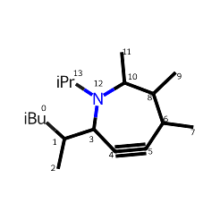 CCC(C)C(C)C1C#CC(C)C(C)C(C)N1C(C)C